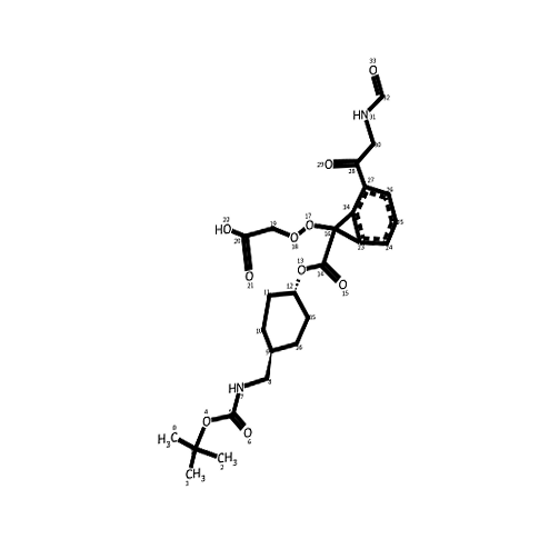 CC(C)(C)OC(=O)NC[C@H]1CC[C@H](OC(=O)C2(OOCC(=O)O)c3cccc(C(=O)CNC=O)c32)CC1